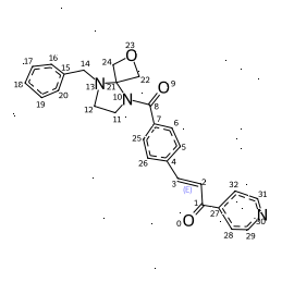 O=C(/C=C/c1ccc(C(=O)N2CCN(Cc3ccccc3)C23COC3)cc1)c1ccncc1